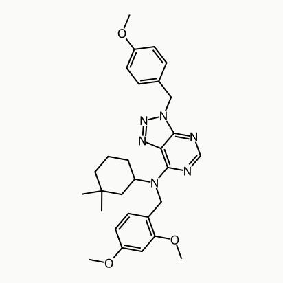 COc1ccc(Cn2nnc3c(N(Cc4ccc(OC)cc4OC)C4CCCC(C)(C)C4)ncnc32)cc1